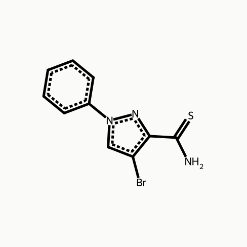 NC(=S)c1nn(-c2ccccc2)cc1Br